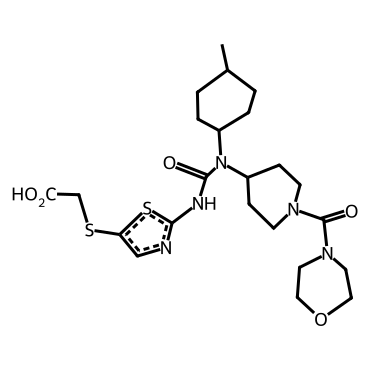 CC1CCC(N(C(=O)Nc2ncc(SCC(=O)O)s2)C2CCN(C(=O)N3CCOCC3)CC2)CC1